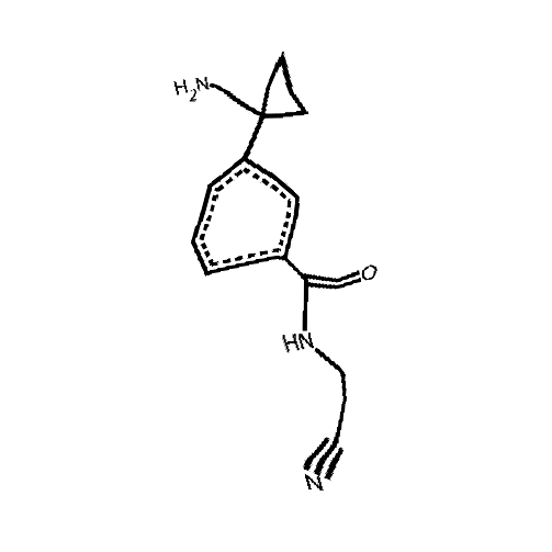 N#CCNC(=O)c1cccc(C2(N)CC2)c1